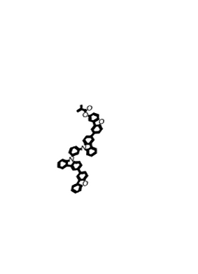 C=C(C)C(=O)Oc1ccc2oc3ccc(-c4ccc5c(c4)c4ccccc4n5-c4cccc(-n5c6ccccc6c6cc(-c7ccc8oc9ccccc9c8c7)ccc65)c4)cc3c2c1